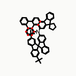 CC(C)(C)c1ccc2c(c1)C1(c3ccccc3-c3ccc(N(c4ccc5c(c4)C4(CCCC4)c4ccccc4-5)c4ccccc4-c4ccccc4-c4ccccc4-c4ccccc4)cc31)c1cc(C(C)(C)C)ccc1-2